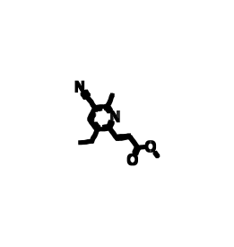 CCc1cc(C#N)c(C)nc1/C=C/C(=O)OC